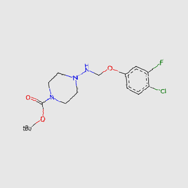 CC(C)(C)OC(=O)N1CCN(NCOc2ccc(Cl)c(F)c2)CC1